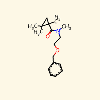 CN(CCOCc1ccccc1)C(=O)C1(C)CC1(C)C